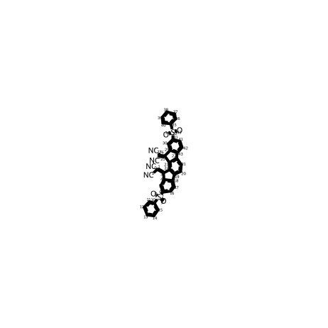 N#CC(C#N)=C1c2cc(S(=O)(=O)c3ccccc3)ccc2-c2ccc3c(c21)C(=C(C#N)C#N)c1cc(S(=O)(=O)c2ccccc2)ccc1-3